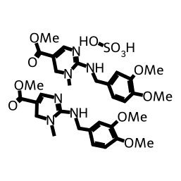 COC(=O)C1=CN=C(NCc2ccc(OC)c(OC)c2)N(C)C1.COC(=O)C1=CN=C(NCc2ccc(OC)c(OC)c2)N(C)C1.O=S(=O)(O)O